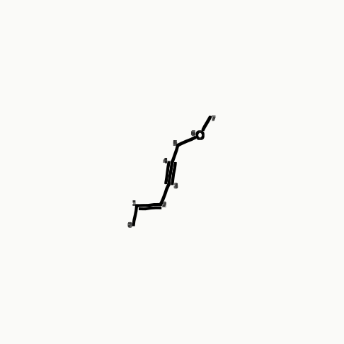 C/C=C/C#CCOC